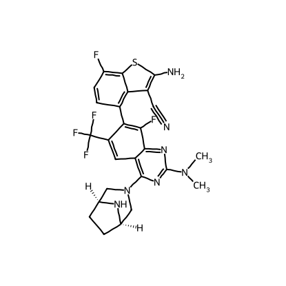 CN(C)c1nc(N2C[C@H]3CC[C@@H](C2)N3)c2cc(C(F)(F)F)c(-c3ccc(F)c4sc(N)c(C#N)c34)c(F)c2n1